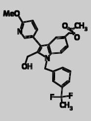 COc1ccc(-c2c(CO)n(Cc3cccc(C(C)(F)F)c3)c3ccc(S(C)(=O)=O)cc23)cn1